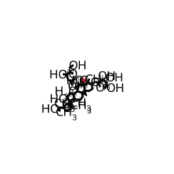 CC(C)(O)C1CC[C@](C)(C2C(O)C[C@@]3(C)C4C[C@H](O[C@@H]5O[C@H](CO)C(O)CC5O)[C@H]5C(C)(C)C(OC6OC[C@@H](O)C(O)[C@H]6O)CCC56CC46CCC23C)O1